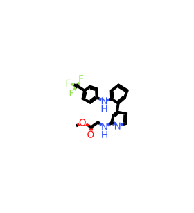 COC(=O)CNc1cc(-c2ccccc2Nc2ccc(C(F)(F)F)cc2)ccn1